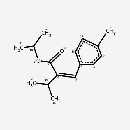 Cc1ccc(C=C(C(=O)OC(C)C)C(C)C)cc1